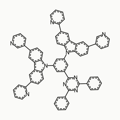 c1ccc(-c2nc(-c3ccccc3)nc(-c3cc(-n4c5ccc(-c6cccnc6)cc5c5cc(-c6ccccn6)ccc54)cc(-n4c5ccc(-c6cccnc6)cc5c5cc(-c6ccccn6)ccc54)c3)n2)cc1